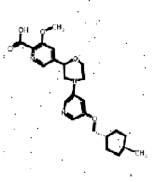 COc1cc(C2CN(c3cncc(OC[C@H]4CC[C@H](C)CC4)c3)CCO2)cnc1C(=O)O